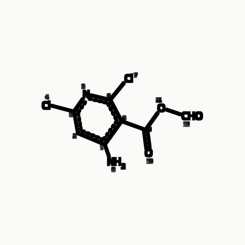 Nc1cc(Cl)nc(Cl)c1C(=O)OC=O